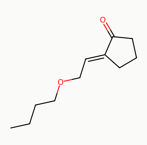 CCCCOC/C=C1\CCCC1=O